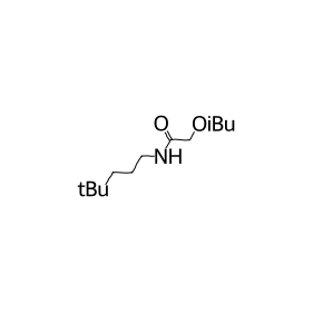 CC(C)COCC(=O)NCCCC(C)(C)C